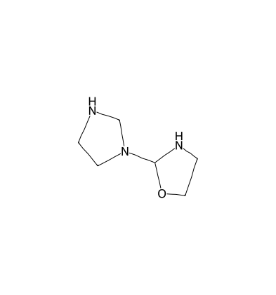 C1CN(C2NCCO2)CN1